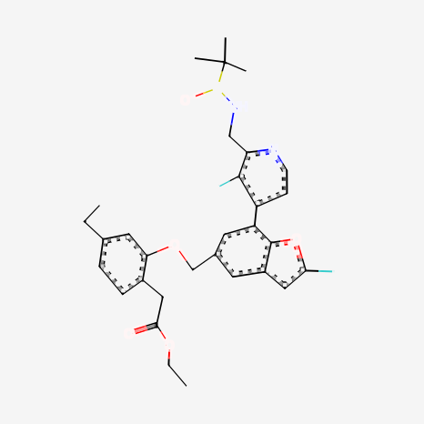 CCOC(=O)Cc1ccc(CC)cc1OCc1cc(-c2ccnc(CN[S+]([O-])C(C)(C)C)c2F)c2oc(F)cc2c1